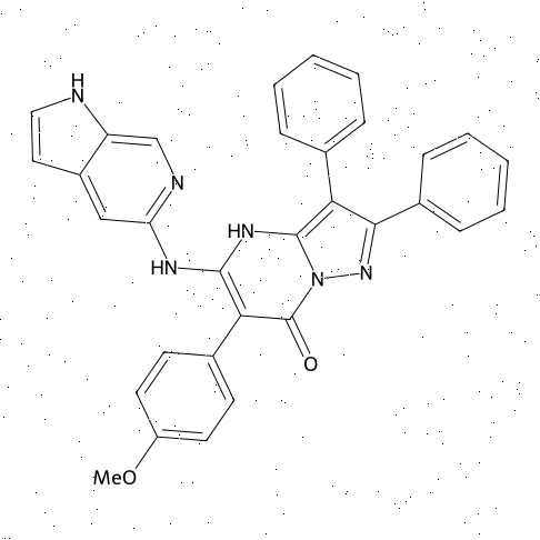 COc1ccc(-c2c(Nc3cc4cc[nH]c4cn3)[nH]c3c(-c4ccccc4)c(-c4ccccc4)nn3c2=O)cc1